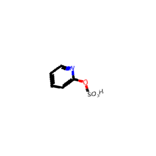 O=S(=O)(O)Oc1ccccn1